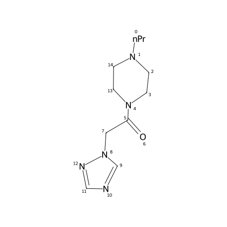 CCCN1CCN(C(=O)Cn2cncn2)CC1